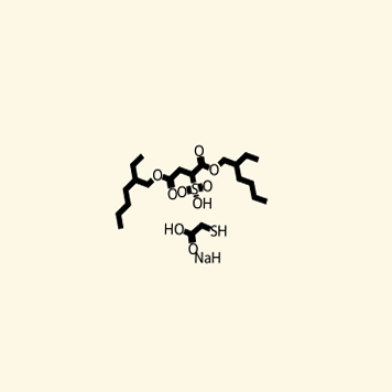 CCCCC(CC)COC(=O)CC(C(=O)OCC(CC)CCCC)S(=O)(=O)O.O=C(O)CS.[NaH]